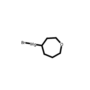 [Br][Mg][CH]1CCCOCC1